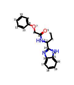 CCC(NC(=O)COc1ccccc1)c1nc2ccccc2[nH]1